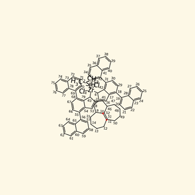 C[SiH](C)[Zr]([Cl])([Cl])([CH]1C(CC2CCCCCC2)=Cc2c(-c3cccc4ccccc34)ccc(-c3cccc4ccccc34)c21)[CH]1C(CC2CCCCCC2)=Cc2c(-c3cccc4ccccc34)ccc(-c3cccc4ccccc34)c21